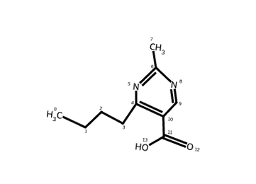 CCCCc1nc(C)ncc1C(=O)O